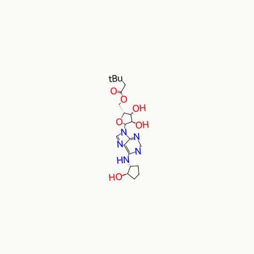 CC(C)(C)CC(=O)OC[C@H]1OC(n2cnc3c(N[C@@H]4CCC[C@H]4O)ncnc32)[C@H](O)[C@@H]1O